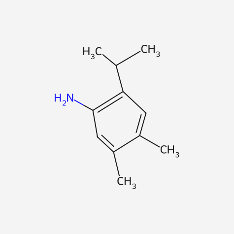 Cc1cc(N)c(C(C)C)cc1C